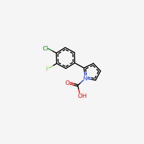 O=C(O)n1cccc1-c1ccc(Cl)c(F)c1